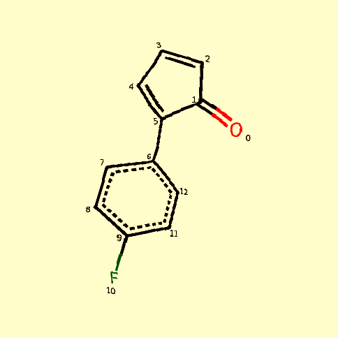 O=C1C=CC=C1c1ccc(F)cc1